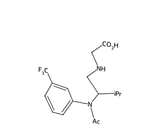 CC(=O)N(c1cccc(C(F)(F)F)c1)C(CNCC(=O)O)C(C)C